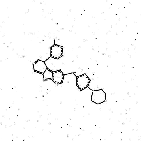 FC(F)(F)c1cccc(C2C=NC=C3N=c4ncc(Nc5ccc(N6CCNCC6)cn5)cc4=C32)c1